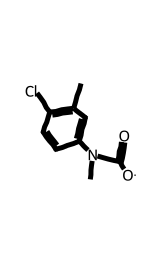 Cc1cc(N(C)C([O])=O)ccc1Cl